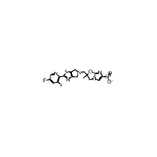 CC1(CN2Cc3nc(-c4ncc(F)cc4F)sc3C2)Cn2cc([N+](=O)[O-])nc2O1